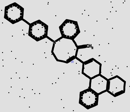 C=C1/C(C2=CCC3C4=C(C=CCC4)c4ccccc4C3C2)=C\CCN(c2ccc(-c3ccccc3)cc2)c2ccccc21